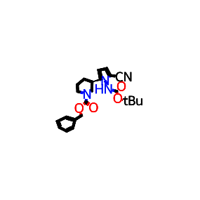 CC(C)(C)OC(=O)Nn1c(C#N)ccc1[C@@H]1CCCN(C(=O)OCc2ccccc2)C1